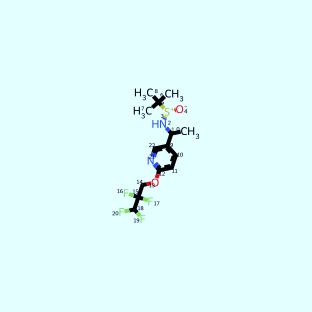 CC(N[S@+]([O-])C(C)(C)C)c1ccc(OCC(F)(F)C(F)F)nc1